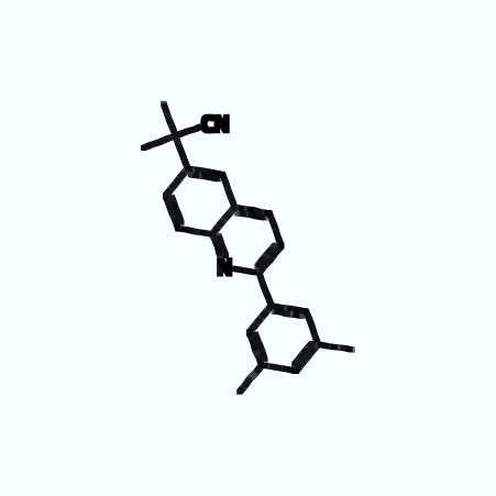 Cc1cc(C)cc(-c2ccc3cc(C(C)(C)C#N)ccc3n2)c1